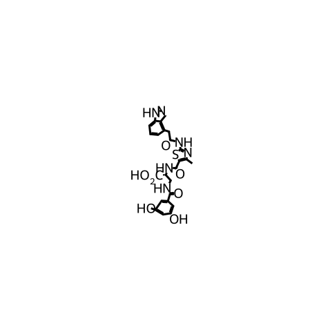 Cc1nc(NC(=O)Cc2cccc3[nH]ncc23)sc1C(=O)N[C@@H](CNC(=O)c1cc(O)cc(O)c1)C(=O)O